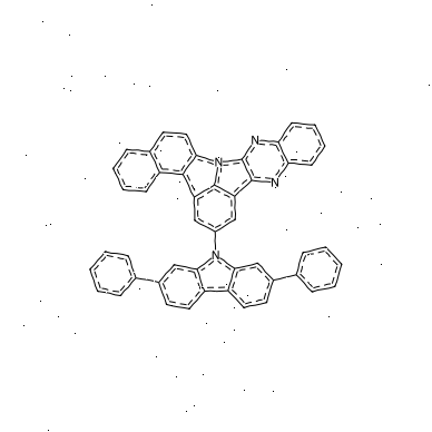 c1ccc(-c2ccc3c4ccc(-c5ccccc5)cc4n(-c4cc5c6nc7ccccc7nc6n6c7ccc8ccccc8c7c(c4)c56)c3c2)cc1